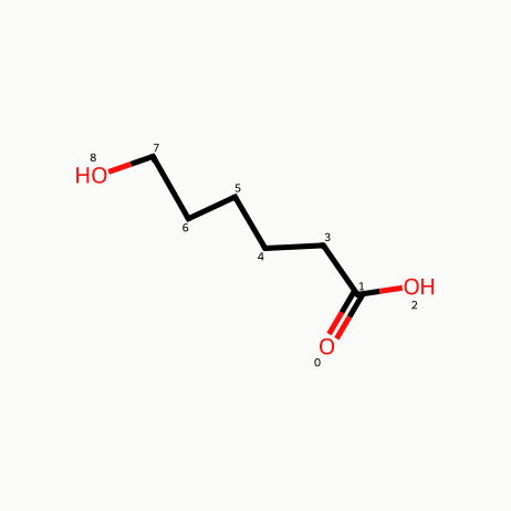 O=C(O)CCCC[CH]O